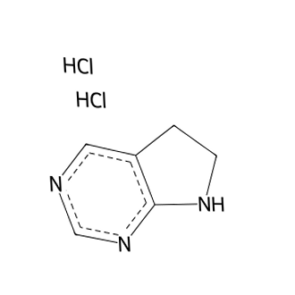 Cl.Cl.c1ncc2c(n1)NCC2